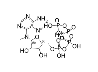 C=Nc1c(N)ncnc1N(C)[C@@H]1O[C@H](COP(=O)(O)OP(=O)(O)OP(=O)(O)OP(=O)(O)O)C(O)C1O